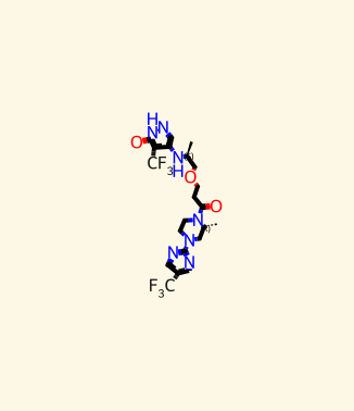 C[C@@H]1CN(c2ncc(C(F)(F)F)cn2)CCN1C(=O)CCOC[C@H](C)Nc1cn[nH]c(=O)c1C(F)(F)F